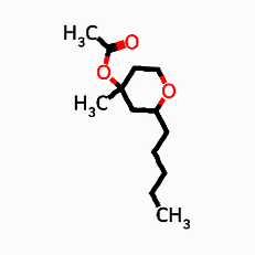 CCCCCC1CC(C)(OC(C)=O)CCO1